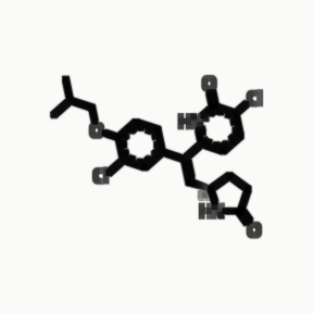 CC(C)COc1ccc(C(=C[C@H]2CCC(=O)N2)c2ccc(Cl)c(=O)[nH]2)cc1Cl